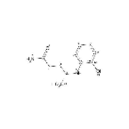 NC(=O)CC[C@H](Nc1ccccc1O)C(=O)O